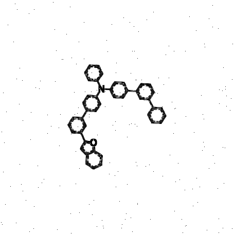 c1ccc(-c2cccc(-c3ccc(N(c4ccccc4)c4ccc(-c5cccc(-c6cc7ccccc7o6)c5)cc4)cc3)c2)cc1